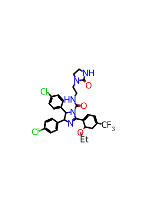 CCOC1CC(C(F)(F)F)=CC=C1C1=NC(c2ccc(Cl)cc2)C(c2ccc(Cl)cc2)N1C(=O)NCCN1CCNC1=O